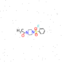 CC(=O)N1CCN(S(=O)(=O)c2ccccc2F)CC1